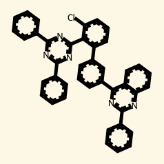 Clc1cccc(-c2cccc(-c3nc(-c4ccccc4)nc4ccccc34)c2)c1-c1nc(-c2ccccc2)nc(-c2ccccc2)n1